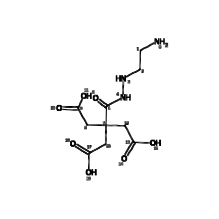 NCCNNC(=O)C(CC(=O)O)(CC(=O)O)CC(=O)O